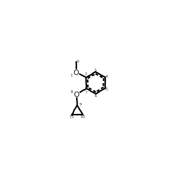 COc1cc[c]cc1OC1CC1